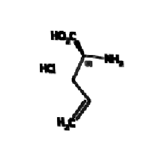 C=CC[C@H](N)C(=O)O.Cl